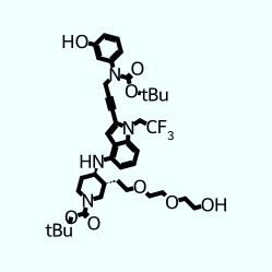 CC(C)(C)OC(=O)N1CC[C@@H](Nc2cccc3c2cc(C#CCN(C(=O)OC(C)(C)C)c2cccc(O)c2)n3CC(F)(F)F)[C@H](CCOCCOCCO)C1